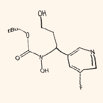 CC(C)(C)OC(=O)N(O)C(CCO)c1cncc(F)c1